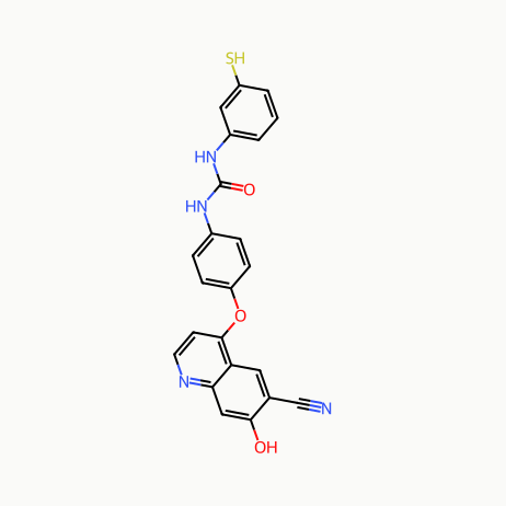 N#Cc1cc2c(Oc3ccc(NC(=O)Nc4cccc(S)c4)cc3)ccnc2cc1O